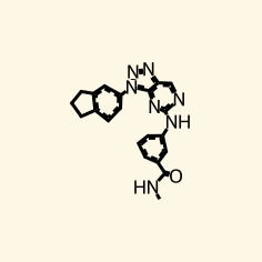 CNC(=O)c1cccc(Nc2ncc3nnn(-c4ccc5c(c4)CCC5)c3n2)c1